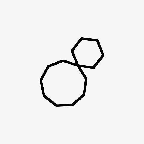 C1CCCCC2(CCC1)CCCCC2